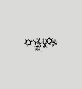 NC(=O)O[C@@H](Cc1ccccc1)[C@@H](O)CNC1(c2cccc(C(F)(F)F)c2)CC1